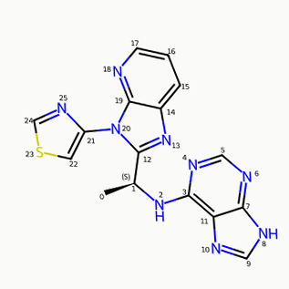 C[C@H](Nc1ncnc2[nH]cnc12)c1nc2cccnc2n1-c1cscn1